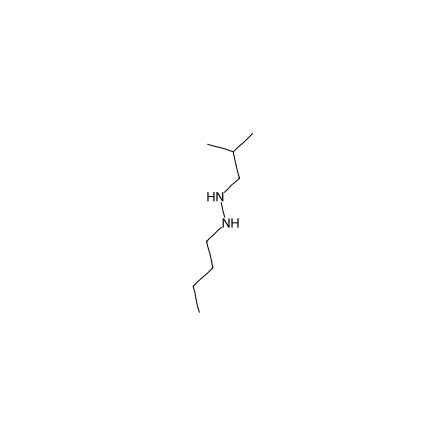 CCCCNNCC(C)C